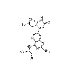 CCCC[C@H](CO)Nc1nc(N)nc2cc(-c3cc(=O)[nH]cc3CN(C)CCCC)cnc12